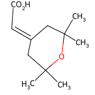 CC1(C)CC(=CC(=O)O)CC(C)(C)O1